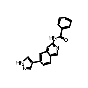 O=C(Nc1cc2cc(-c3cn[nH]c3)ccc2cn1)c1ccccc1